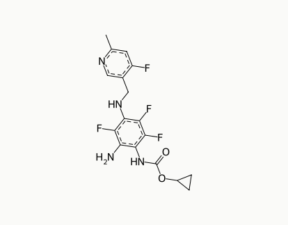 Cc1cc(F)c(CNc2c(F)c(N)c(NC(=O)OC3CC3)c(F)c2F)cn1